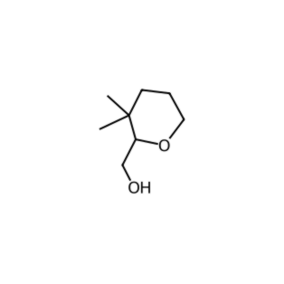 CC1(C)CCCOC1CO